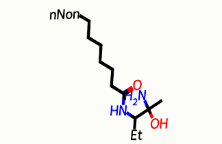 CCCCCCCCCCCCCCCC(=O)NC(CC)C(C)(N)O